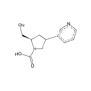 O=C(O)N1CC(c2cccnc2)C[C@@H]1CO